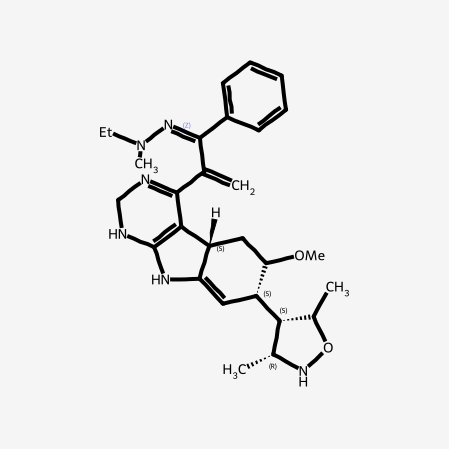 C=C(C1=NCNC2=C1[C@@H]1CC(OC)[C@H]([C@@H]3C(C)ON[C@@H]3C)C=C1N2)/C(=N\N(C)CC)c1ccccc1